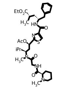 CCOC(=O)[C@@H](C)C[C@H](Cc1ccccc1)NC(=O)c1csc([C@@H](C[C@H](C(C)C)N(C)C(=O)CNC(=O)[C@H]2CCCCN2C)OC(C)=O)n1